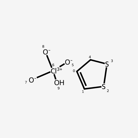 C1=CSSC1.[O-][Cl+3]([O-])([O-])O